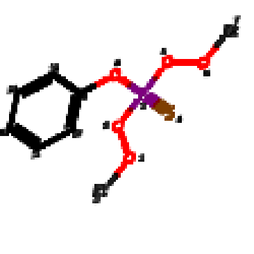 CCOOP(=S)(OOCC)Oc1ccccc1